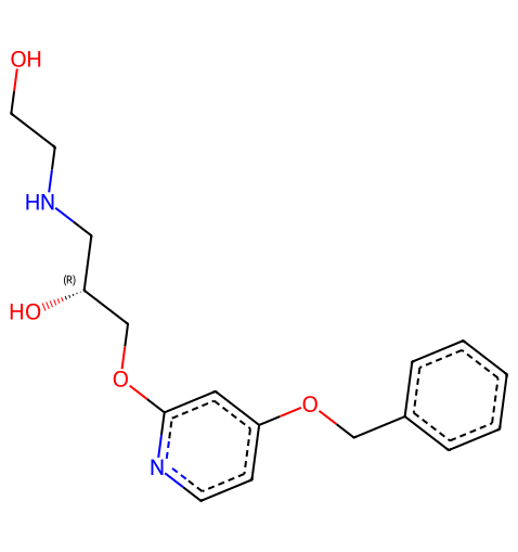 OCCNC[C@@H](O)COc1cc(OCc2ccccc2)ccn1